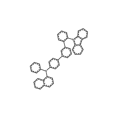 c1ccc(N(c2ccc(-c3cccc(-c4ccccc4-n4c5ccccc5c5ccccc54)c3)cc2)c2cccc3ccccc23)cc1